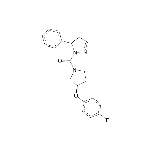 O=C(N1CC[C@@H](Oc2ccc(F)cc2)C1)N1N=CCC1c1ccccc1